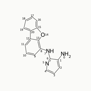 Nc1cccnc1Nc1cccc2c1oc1ccccc12